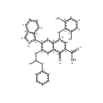 CN(Cc1ccccc1)Cc1cc2c(=O)c(C(=O)O)cn(Cc3c(F)cccc3F)c2cc1-c1occ2ccccc12